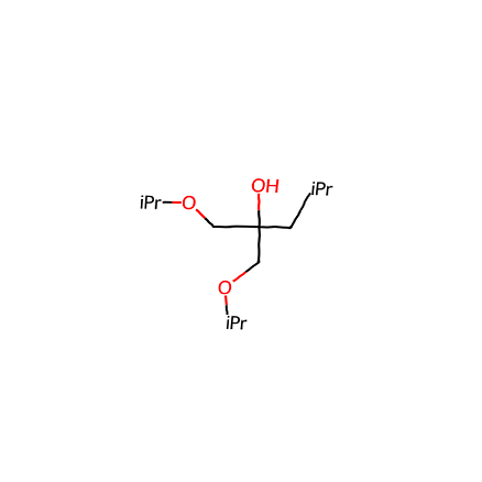 CC(C)CC(O)(COC(C)C)COC(C)C